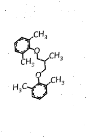 Cc1cccc(C)c1OCC(C)COc1c(C)cccc1C